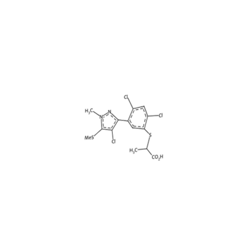 CSc1c(Cl)c(-c2cc(SC(C)C(=O)O)c(Cl)cc2Cl)nn1C